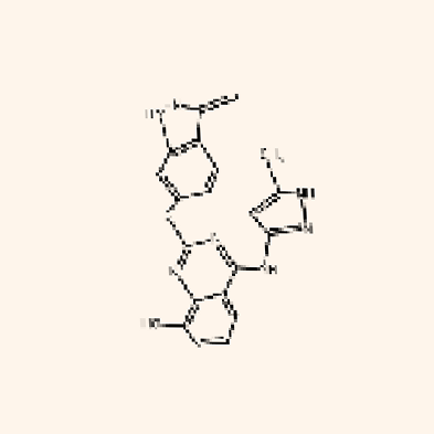 Cc1cc(Nc2nc(Sc3ccc4c(=O)[nH][nH]c4c3)nc3c(O)cccc23)n[nH]1